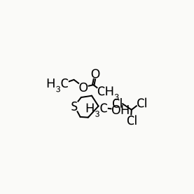 C1CCSCC1.CCOC(C)=O.CO.ClC(Cl)Cl